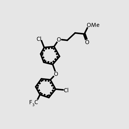 COC(=O)CCOc1cc(Oc2ccc(C(F)(F)F)cc2Cl)ccc1Cl